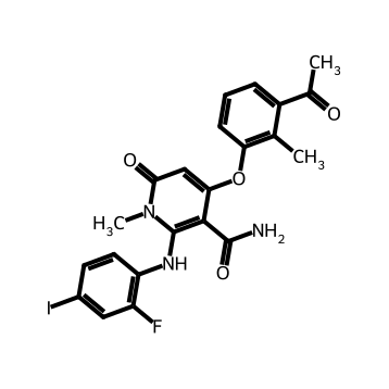 CC(=O)c1cccc(Oc2cc(=O)n(C)c(Nc3ccc(I)cc3F)c2C(N)=O)c1C